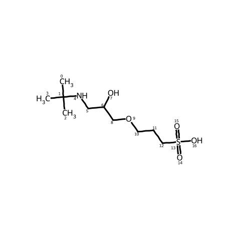 CC(C)(C)NCC(O)COCCCS(=O)(=O)O